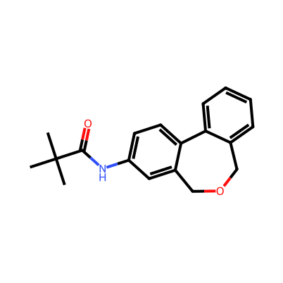 CC(C)(C)C(=O)Nc1ccc2c(c1)COCc1ccccc1-2